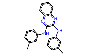 Cc1cccc(Nc2nc3ccccc3nc2Nc2cccc(C)c2)c1